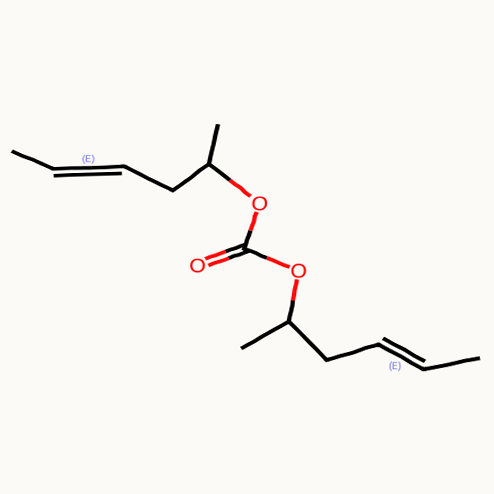 C/C=C/CC(C)OC(=O)OC(C)C/C=C/C